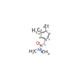 CCc1ccc(CC(=O)N(C)C)cc1C